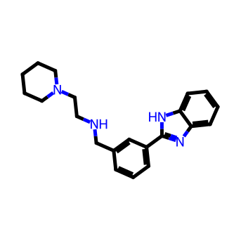 c1cc(CNCCN2CCCCC2)cc(-c2nc3ccccc3[nH]2)c1